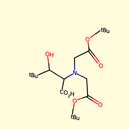 CC(C)(C)OC(=O)CN(CC(=O)OC(C)(C)C)C(C(=O)O)C(O)C(C)(C)C